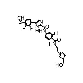 COc1ccc(-c2cnc(C(=O)Nc3ccc(C(=O)NCCN4CCC(CO)C4)c(Cl)c3)[nH]2)c(F)c1F